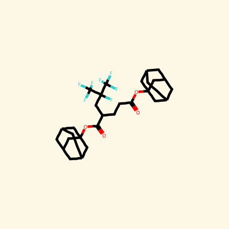 O=C(CCC(CC(F)(C(F)(F)F)C(F)(F)F)C(=O)OC12CC3CC(CC(C3)C1)C2)OC12CC3CC(CC(C3)C1)C2